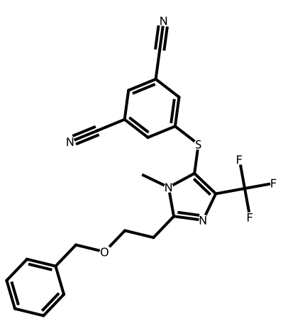 Cn1c(CCOCc2ccccc2)nc(C(F)(F)F)c1Sc1cc(C#N)cc(C#N)c1